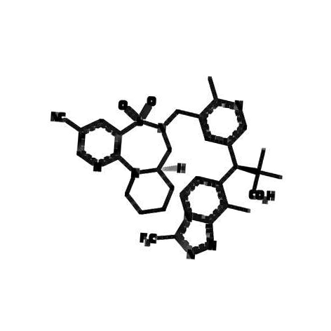 Cc1ncc([C@H](c2ccn3c(C(F)(F)F)nnc3c2C)C(C)(C)C(=O)O)cc1CN1C[C@H]2CCCCN2c2ncc(C#N)cc2S1(=O)=O